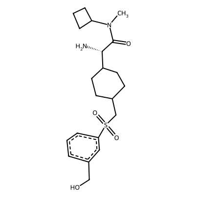 CN(C(=O)[C@@H](N)C1CCC(CS(=O)(=O)c2cccc(CO)c2)CC1)C1CCC1